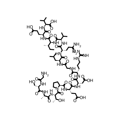 CC[C@H](C)[C@H](NC(=O)[C@@H](NC(=O)[C@H](CCC(N)=O)NC(=O)[C@H](CC(C)C)NC(=O)CNC(=O)[C@H](CCCNC(=N)N)NC(=O)[C@H](CC(=O)O)NC(=O)[C@H](CCC(=O)O)NC(=O)[C@@H]1CCCN1C(=O)[C@@H](NC(=O)[C@H](C)NC(=O)[C@H](CO)NC(=O)CN)[C@@H](C)O)C(C)C)C(=O)N[C@@H](CCC(=O)O)C(=O)N[C@H](C(=O)O)C(C)C